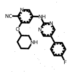 N#Cc1ncc(Nc2ncc(-c3ccc(F)cc3)cn2)cc1OC1CCCNC1